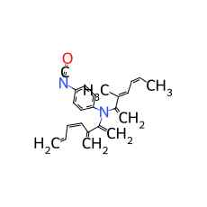 C=C/C=C\C(=C)C(=C)N(C(=C)/C(C)=C/C=C\C)c1ccc(N=C=O)cc1